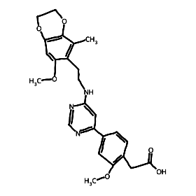 COc1cc(-c2cc(NCCc3c(OC)cc4c(c3C)OCCO4)ncn2)ccc1CC(=O)O